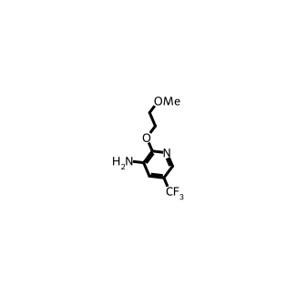 COCCOc1ncc(C(F)(F)F)cc1N